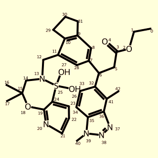 CCOC(=O)CC(c1cc2c(c(CN3CC(C)(C)Oc4ncccc4S3(O)O)c1)CCC2)c1ccc2c(nnn2C)c1C